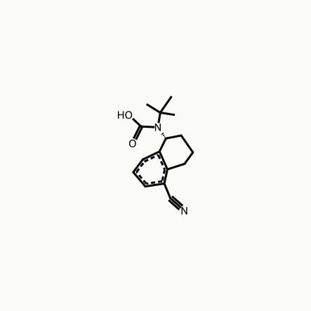 CC(C)(C)N(C(=O)O)[C@@H]1CCCc2c(C#N)cccc21